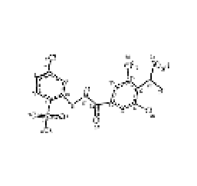 CCS(=O)(=O)c1ccc(Cl)cc1CNC(=O)c1cc(Cl)c(C(C)S(=O)(=O)O)c(C(F)(F)F)c1